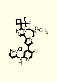 CO[C@@H]1Cn2cc(-c3cc(Nc4ccnn4C)ncc3Cl)cc2-c2nnc(C3(C(F)(F)F)CCC3)n2C1